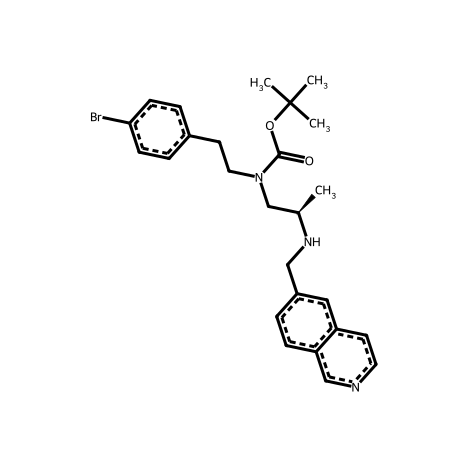 C[C@H](CN(CCc1ccc(Br)cc1)C(=O)OC(C)(C)C)NCc1ccc2cnccc2c1